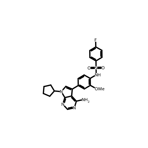 COc1cc(-c2cn(C3CCCC3)c3ncnc(N)c23)ccc1NS(=O)(=O)c1ccc(F)cc1